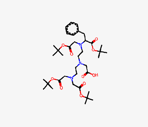 CC(C)(C)OC(=O)CN(CCN(CCN(CC(=O)OC(C)(C)C)C(Cc1ccccc1)C(=O)OC(C)(C)C)CC(=O)O)CC(=O)OC(C)(C)C